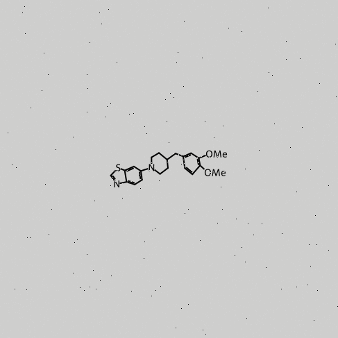 COc1ccc(CC2CCN(c3ccc4ncsc4c3)CC2)cc1OC